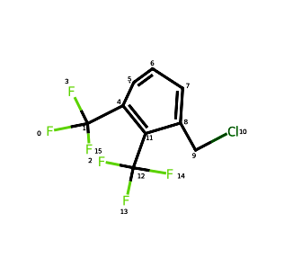 FC(F)(F)c1[c]ccc(CCl)c1C(F)(F)F